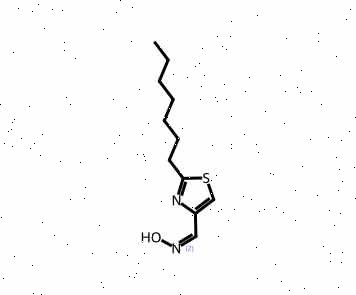 CCCCCCCc1nc(/C=N\O)cs1